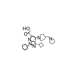 O=C(CO)c1cc(N2CCC(CN3CCCC3)CC2)c2c(C3CCC3)nn(-c3ccccc3)c2n1